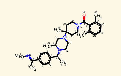 CO/N=C(\C)c1ccc([C@H](C)N2CCN(C3(C)CCN(C(=O)c4c(C)cccc4C)CC3)C[C@@H]2C)cc1